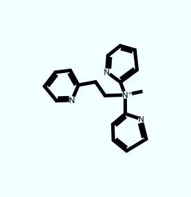 C[N+](CCc1ccccn1)(c1ccccn1)c1ccccn1